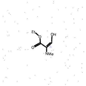 CCOC(=O)/C(=C\O)NC